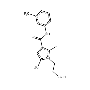 Cc1c(C(=O)Nc2cccc(C(F)(F)F)c2)cc(C(C)(C)C)n1CCC(=O)O